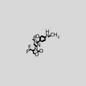 CCNc1ccc2c(c1)OCCn1cc(N3C(=O)OCC3C(F)F)nc1-2